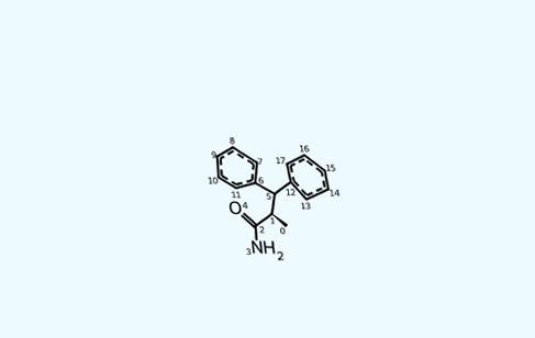 C[C@@H](C(N)=O)C(c1ccccc1)c1ccccc1